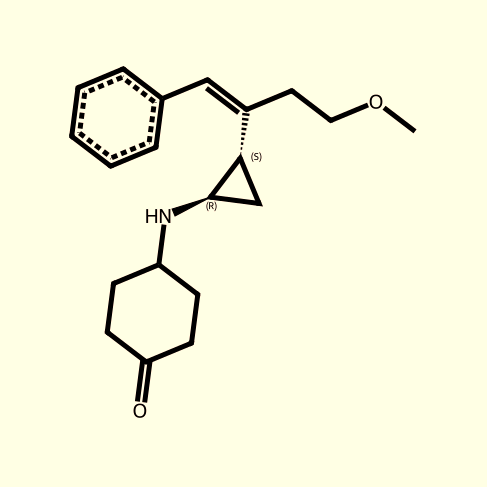 COCCC(=Cc1ccccc1)[C@@H]1C[C@H]1NC1CCC(=O)CC1